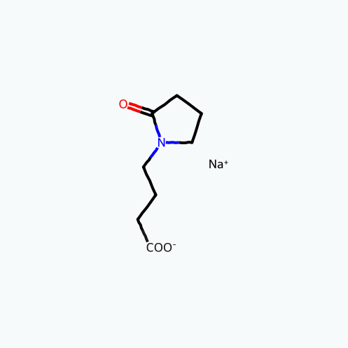 O=C([O-])CCCN1CCCC1=O.[Na+]